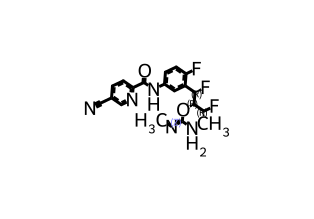 C/N=C(/N)O[C@@H]([C@H](F)c1cc(NC(=O)c2ccc(C#N)cn2)ccc1F)[C@@H](C)F